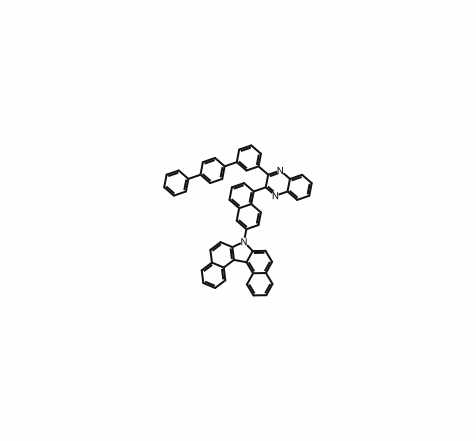 c1ccc(-c2ccc(-c3cccc(-c4nc5ccccc5nc4-c4cccc5cc(-n6c7ccc8ccccc8c7c7c8ccccc8ccc76)ccc45)c3)cc2)cc1